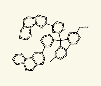 Cc1ccc2c(c1)C(c1cccc(-c3ccc4ccc5cccnc5c4n3)c1)(c1cccc(-c3ccc4ccc5cccnc5c4n3)c1)c1cc(CC(C)C)ccc1-2